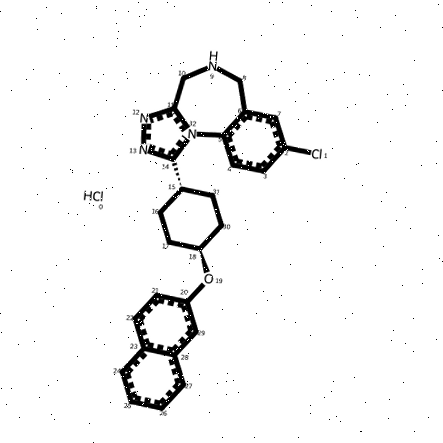 Cl.Clc1ccc2c(c1)CNCc1nnc([C@H]3CC[C@H](Oc4ccc5ccccc5c4)CC3)n1-2